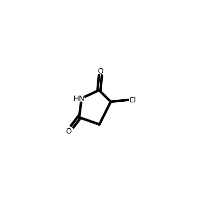 O=C1CC(Cl)C(=O)N1